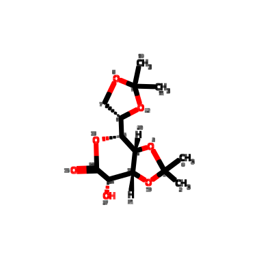 CC1(C)O[C@H]2[C@@H]([C@@H]3COC(C)(C)O3)OC(=O)[C@@H](O)[C@H]2O1